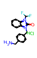 Cl.NCc1ccc(Cn2c(=O)n(C(F)F)c3ccccc32)cc1